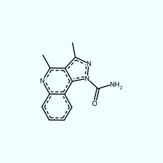 Cc1nc2ccccc2c2c1c(C)nn2C(N)=O